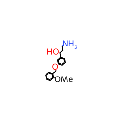 COc1ccccc1COc1cccc([C@H](O)CCN)c1